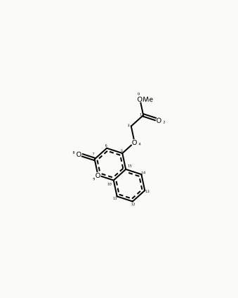 COC(=O)COc1cc(=O)oc2ccccc12